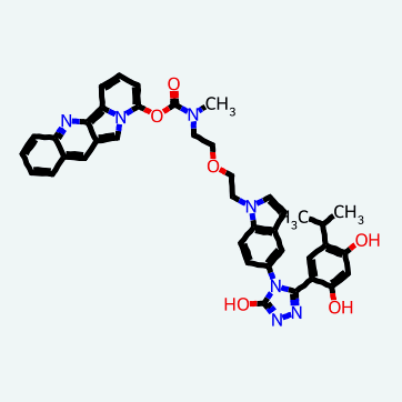 CC(C)c1cc(-c2nnc(O)n2-c2ccc3c(ccn3CCOCCN(C)C(=O)Oc3cccc4c5nc6ccccc6cc5cn34)c2)c(O)cc1O